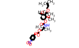 COC1C(OC(=O)NC(C)(C)COC(=O)Oc2ccc([N+](=O)[O-])cc2)CC[C@]2(CO2)C1C(C)(C)OCC=C(C)C